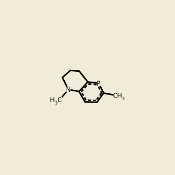 Cc1ccc2c(p1)CCCN2C